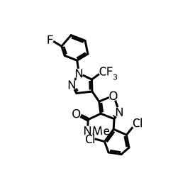 CNC(=O)c1c(-c2c(Cl)cccc2Cl)noc1-c1cnn(-c2cccc(F)c2)c1C(F)(F)F